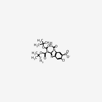 CC(C)(C)OC(=O)N(C(=O)OC(C)(C)C)c1nc2cc(Cl)c([N+](=O)[O-])cc2n1C(=O)O